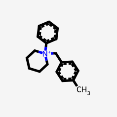 Cc1ccc(C[N+]2(c3ccccc3)CCCCC2)cc1